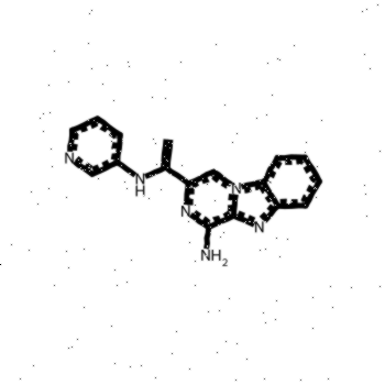 C=C(Nc1cccnc1)c1cn2c(nc3ccccc32)c(N)n1